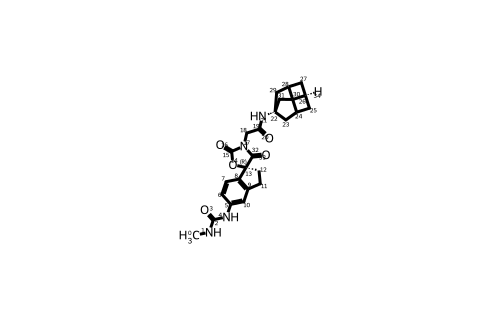 CNC(=O)Nc1ccc2c(c1)CC[C@@]21OC(=O)N(CC(=O)N[C@]23CC4C[C@@H]5CC(C2)C45C3)C1=O